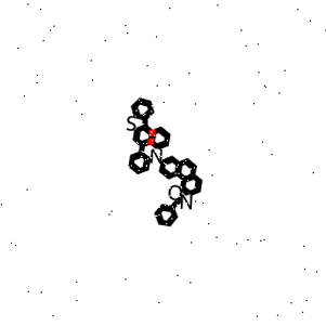 c1ccc(-c2nc3ccc4ccc5cc(N(c6ccccc6)c6ccccc6-c6ccc7c(c6)sc6ccccc67)ccc5c4c3o2)cc1